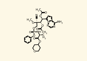 CO[C@](C#N)(COP(=O)(N[C@@H](C)C(=O)OC1CCOCC1)Oc1ccccc1)[C@@H](OC(C)=O)[C@@H](OC(C)=O)c1ccc2c(N)ncnn12